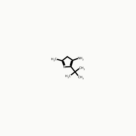 CC1=NC(C(C)(C)C)=C(N)C1